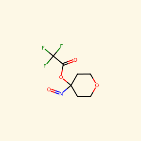 O=NC1(OC(=O)C(F)(F)F)CCOCC1